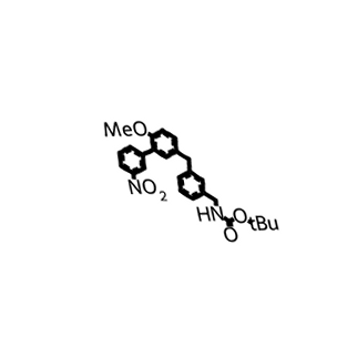 COc1ccc(Cc2cccc(CNC(=O)OC(C)(C)C)c2)cc1-c1cccc([N+](=O)[O-])c1